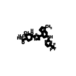 Cn1ccc2c(-c3cnc(C4(O)CCC(C(=O)O)C(C)(C)C4)s3)cc(Nc3nccc(C(F)(F)F)n3)cc21